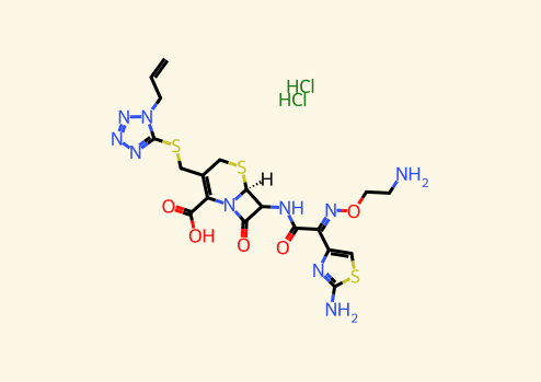 C=CCn1nnnc1SCC1=C(C(=O)O)N2C(=O)C(NC(=O)C(=NOCCN)c3csc(N)n3)[C@@H]2SC1.Cl.Cl